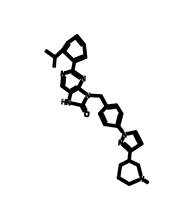 CC(C)c1ccccc1-c1ncc2[nH]c(=O)n(Cc3ccc(-n4ccc(C5CCCN(C)C5)n4)cc3)c2n1